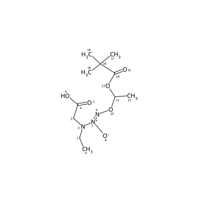 CCN(CC(=O)O)[N+]([O-])=NOC(C)OC(=O)C(C)(C)C